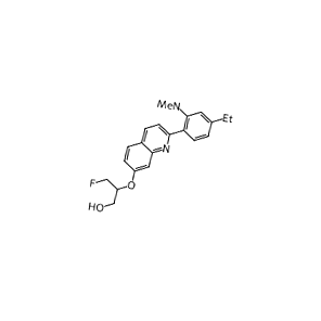 CCc1ccc(-c2ccc3ccc(OC(CO)CF)cc3n2)c(NC)c1